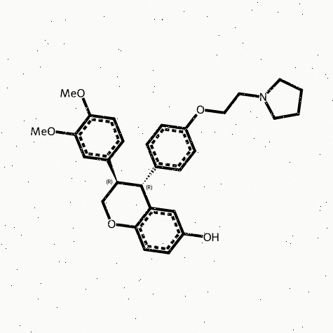 COc1ccc([C@@H]2COc3ccc(O)cc3[C@H]2c2ccc(OCCN3CCCC3)cc2)cc1OC